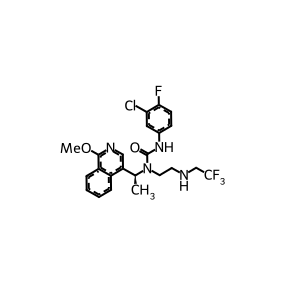 COc1ncc([C@H](C)N(CCNCC(F)(F)F)C(=O)Nc2ccc(F)c(Cl)c2)c2ccccc12